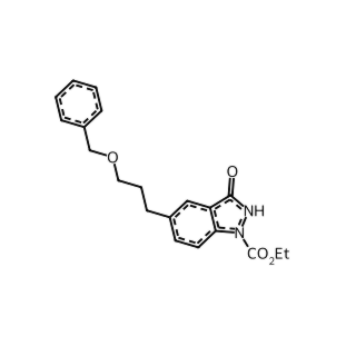 CCOC(=O)n1[nH]c(=O)c2cc(CCCOCc3ccccc3)ccc21